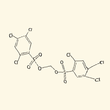 O=S(=O)(OCOS(=O)(=O)c1cc(Cl)c(Cl)cc1Cl)c1cc(Cl)c(Cl)cc1Cl